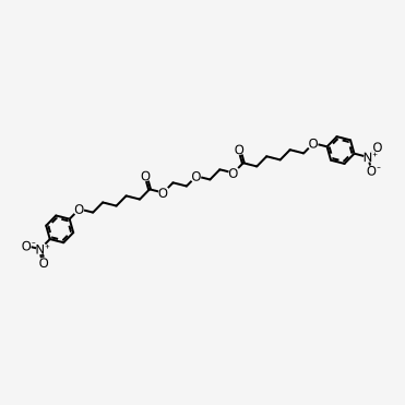 O=C(CCCCCOc1ccc([N+](=O)[O-])cc1)OCCOCCOC(=O)CCCCCOc1ccc([N+](=O)[O-])cc1